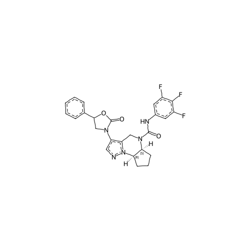 O=C1OC(c2ccccc2)CN1c1cnn2c1CN(C(=O)Nc1cc(F)c(F)c(F)c1)[C@H]1CCC[C@H]12